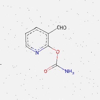 NC(=O)Oc1ncccc1C=O